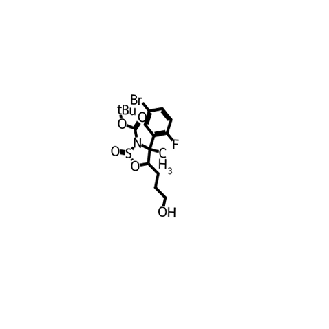 CC(C)(C)OC(=O)N1S(=O)OC(CCCO)C1(C)c1cc(Br)ccc1F